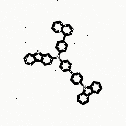 c1ccc2c(-c3ccc(N(c4ccc(-c5ccc(-n6c7ccccc7c7ccccc76)cc5)cc4)c4ccc5c(c4)sc4ccccc45)cc3)cccc2c1